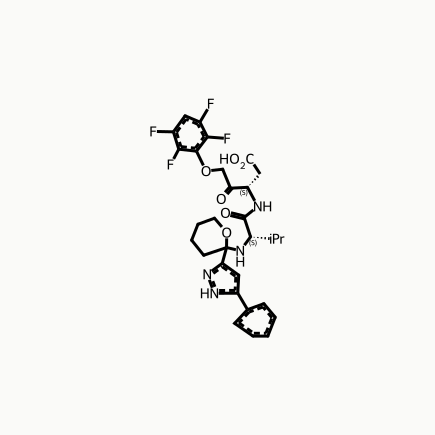 CC(C)[C@H](NC1(c2cc(-c3ccccc3)[nH]n2)CCCCO1)C(=O)N[C@@H](CC(=O)O)C(=O)COc1c(F)c(F)cc(F)c1F